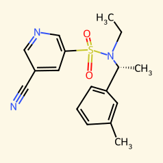 CCN([C@H](C)c1cccc(C)c1)S(=O)(=O)c1cncc(C#N)c1